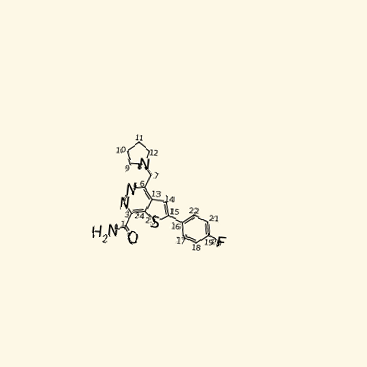 NC(=O)c1nnc(CN2CCCC2)c2cc(-c3ccc(F)cc3)sc12